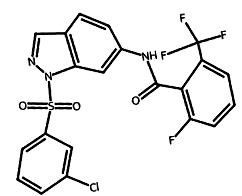 O=C(Nc1ccc2cnn(S(=O)(=O)c3cccc(Cl)c3)c2c1)c1c(F)cccc1C(F)(F)F